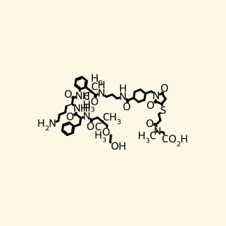 CN(CC(=O)O)C(=O)CCSC1CC(=O)N(CC2CCC(C(=O)NCCCNC(=O)C(C)(C)c3ccccc3NC(=O)[C@H](CCCCN)NC(=O)C(Cc3ccccc3)NC(=O)CC(C)(C)COCCO)CC2)C1=O